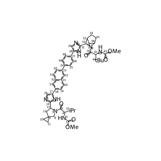 COC(=O)NC(C(=O)N1CC2(CC2)CC1c1ncc(-c2ccc3cc(-c4ccc(-c5cnc(C6C7CCC(C7)N6C(=O)C(NC(=O)OC)C(C)(C)C)[nH]5)cc4)ccc3c2)[nH]1)C(C)C